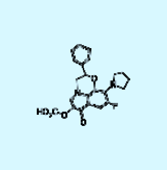 O=C(O)Oc1cn2c3c(c(N4CCCC4)c(F)cc3c1=O)OC(c1ccccc1)C2